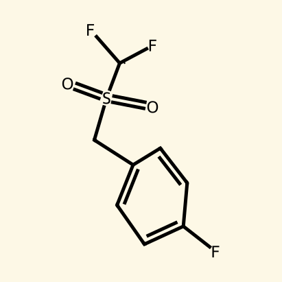 O=S(=O)(Cc1ccc(F)cc1)[C](F)F